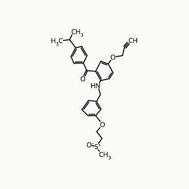 C#CCOc1ccc(NCc2cccc(OCC[S+](C)[O-])c2)c(C(=O)c2ccc(C(C)C)cc2)c1